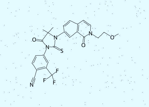 COCCn1ccc2ccc(N3C(=S)N(c4ccc(C#N)c(C(F)(F)F)c4)C(=O)C3(C)C)cc2c1=O